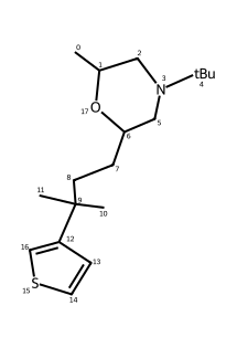 CC1CN(C(C)(C)C)CC(CCC(C)(C)c2ccsc2)O1